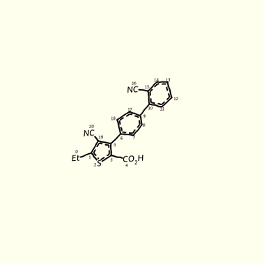 CCc1sc(C(=O)O)c(-c2ccc(-c3ccccc3C#N)cc2)c1C#N